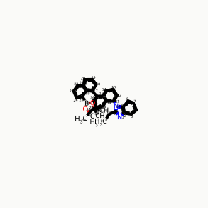 CCc1nc2ccccc2n1-c1cccc2c(-c3cccc4cccc(B5OC(C)(C)C(C)(C)O5)c34)cccc12